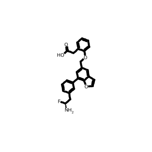 N[C@@H](F)Cc1cccc(-c2cc(COc3ccccc3CC(=O)O)cc3ccoc23)c1